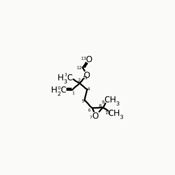 C=CC(C)(CCC1OC1(C)C)OC=O